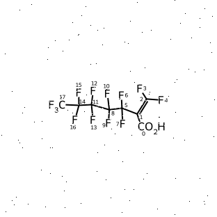 O=C(O)C(=C(F)F)C(F)(F)C(F)(F)C(F)(F)C(F)(F)C(F)(F)F